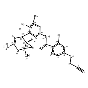 C#CCOc1cnc(C(=O)Nc2cc(F)c(F)c([C@]3(C)N=C(N)S[C@@]4(C#N)C[C@@H]34)c2)c(C)c1